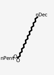 CCCCCCCCCCCCCCCCCCCCCCCCCCCCCC(=O)OCCCCC